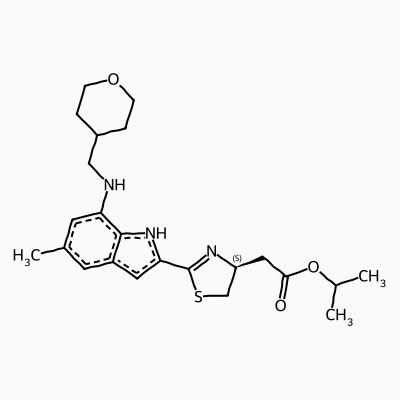 Cc1cc(NCC2CCOCC2)c2[nH]c(C3=N[C@@H](CC(=O)OC(C)C)CS3)cc2c1